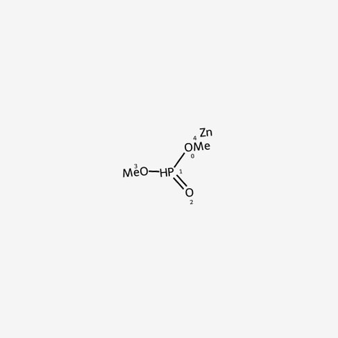 CO[PH](=O)OC.[Zn]